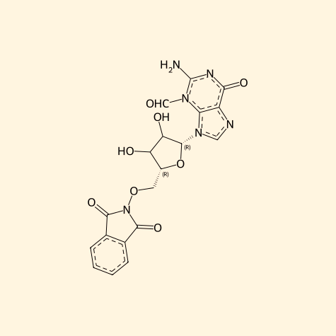 Nc1nc(=O)c2ncn([C@@H]3O[C@H](CON4C(=O)c5ccccc5C4=O)C(O)C3O)c2n1C=O